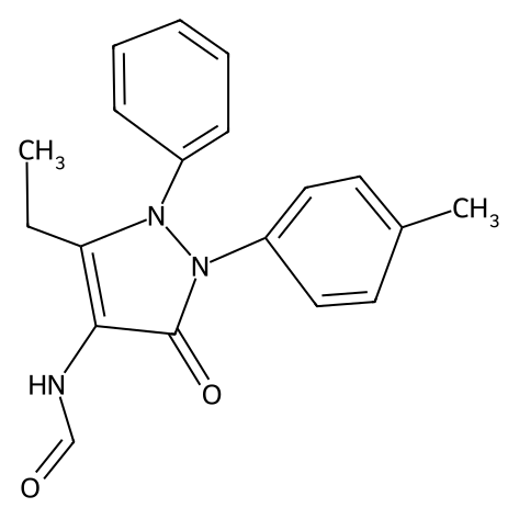 CCc1c(NC=O)c(=O)n(-c2ccc(C)cc2)n1-c1ccccc1